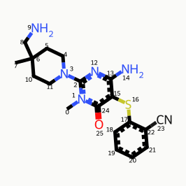 Cn1c(N2CCC(C)(CN)CC2)nc(N)c(Sc2ccccc2C#N)c1=O